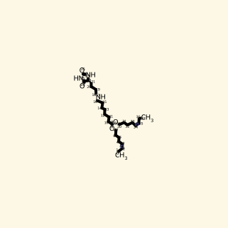 CC/C=C\CCCCOC(CCCCCCCNCCCC[C@@H]1NC(=O)NC1=O)OCCCC/C=C\CC